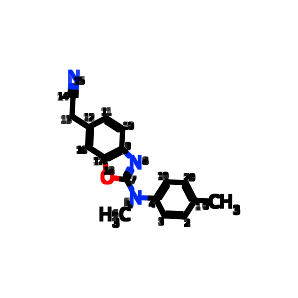 Cc1ccc(N(C)c2nc3ccc(CC#N)cc3o2)cc1